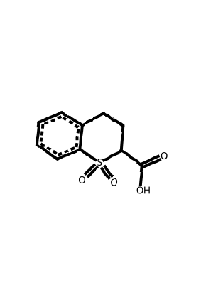 O=C(O)C1CCc2ccccc2S1(=O)=O